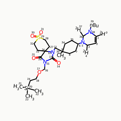 [2H]C1=CC([2H])N(C2CCC(C)(CN3C(=O)N(COCC[Si](C)(C)C)C(=O)C34CCS(=O)(=O)CC4)CC2)C([2H])N1CCCC